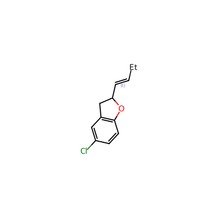 CC/C=C/C1Cc2cc(Cl)ccc2O1